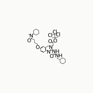 CN(C(=O)CCCOc1ccc2c(c1)CN(CC(=O)OC(C)(C)C(Cl)(Cl)Cl)C(NC(=O)NCC1CCCCC1)=N2)C1CCCCC1